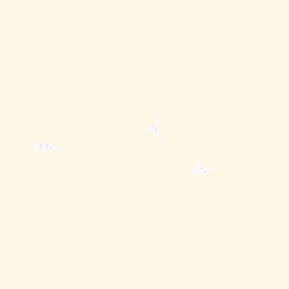 CC(=O)NCCn1ccc2ccc(C(N)=O)cc21